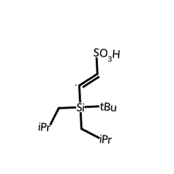 CC(C)C[Si](/[C]=C/S(=O)(=O)O)(CC(C)C)C(C)(C)C